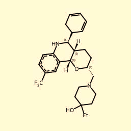 CCC1(O)CCN(C[C@H]2CC[C@@H]3[C@H](O2)c2cc(C(F)(F)F)ccc2N[C@H]3C2C=CC=CC2)CC1